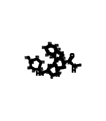 CNC(=O)c1cc2ncc(NC3CCN(C)CC3)nc2n2c1nc1ccccc12